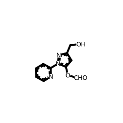 O=COc1cc(CO)nn1-c1ccccn1